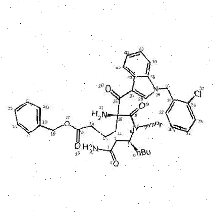 CCCC[C@@H](CC(N)=O)N(CCC)C(=O)[C@](N)(CCCC(=O)OCc1ccccc1)C(=O)c1cn(Cc2ccccc2Cl)c2ccccc12